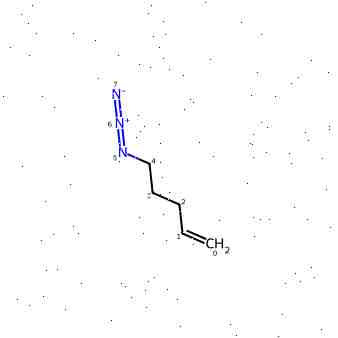 C=CCCCN=[N+]=[N-]